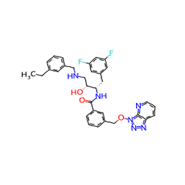 CCc1cccc(CNC[C@@H](O)[C@H](Cc2cc(F)cc(F)c2)NC(=O)c2cccc(COn3nnc4cccnc43)c2)c1